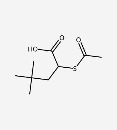 CC(=O)SC(CC(C)(C)C)C(=O)O